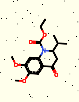 CCOC(=O)N1c2cc(OC)c(OC)cc2C(=O)CC1C(C)C